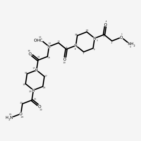 NOCC(=O)N1CCN(C(=O)CN(C=O)CC(=O)N2CCN(C(=O)CON)CC2)CC1